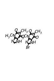 Cn1c(=O)c2[nH]c(Br)nc2n(C)c1=O.Cn1c(=O)c2[nH]cnc2n(C)c1=O